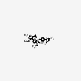 COc1nc(C)nc(C2CC2)c1-c1ncc2c(n1)n(Cc1ccc(-c3nc(C(F)(F)F)cn3C)cc1)c(=N)n2CC(F)(F)F